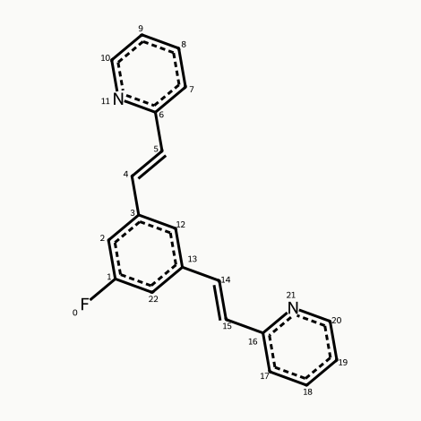 Fc1cc(C=Cc2ccccn2)cc(C=Cc2ccccn2)c1